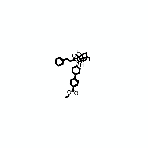 CCOC(=O)c1ccc(C2CCC(N(C(=O)CCc3ccccc3)[C@H]3C[C@H]4C[C@@H]([C@@H]3C)C4(C)C)CC2)cc1